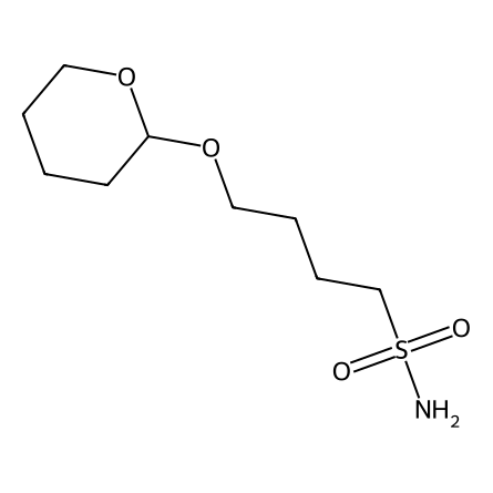 NS(=O)(=O)CCCCOC1CCCCO1